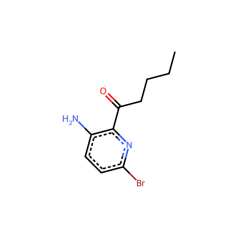 CCCCC(=O)c1nc(Br)ccc1N